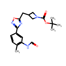 Cc1ccc(-c2noc(CC3CN(C(=O)OC(C)(C)C)C3)n2)cc1NC=O